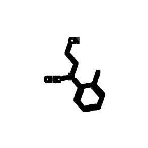 Cc1ccccc1N(C=O)CCC#N